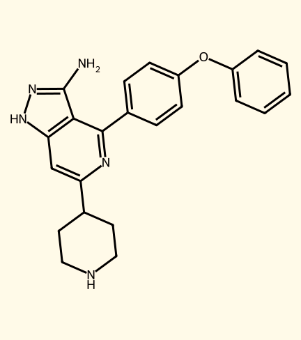 Nc1n[nH]c2cc(C3CCNCC3)nc(-c3ccc(Oc4ccccc4)cc3)c12